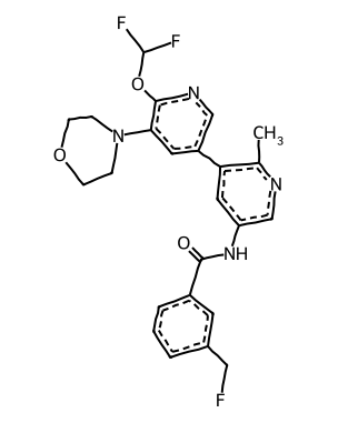 Cc1ncc(NC(=O)c2cccc(CF)c2)cc1-c1cnc(OC(F)F)c(N2CCOCC2)c1